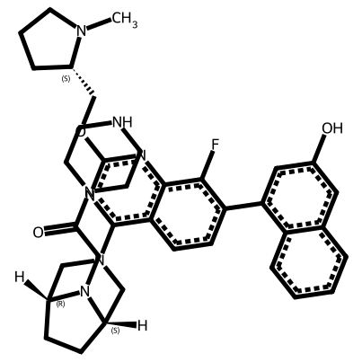 CN1CCC[C@H]1COc1nc(N2C[C@H]3CC[C@@H](C2)N3CC(=O)N2CCNCC2)c2ccc(-c3cc(O)cc4ccccc34)c(F)c2n1